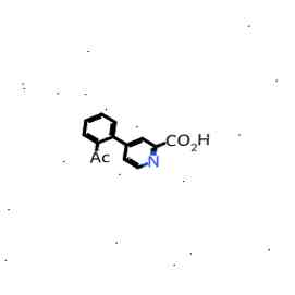 CC(=O)c1ccccc1-c1ccnc(C(=O)O)c1